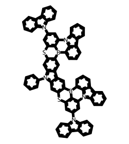 c1ccc(-n2c3cc4c(cc3c3cc5c(cc32)Sc2cc(-n3c6ccccc6c6ccccc63)cc3c2B5c2cccc5c6ccccc6n-3c25)B2c3c(cc(-n5c6ccccc6c6ccccc65)cc3-n3c5ccccc5c5cccc2c53)S4)cc1